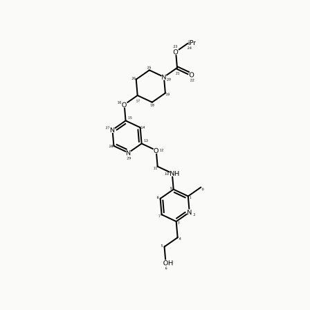 Cc1nc(CCO)ccc1NCOc1cc(OC2CCN(C(=O)OC(C)C)CC2)ncn1